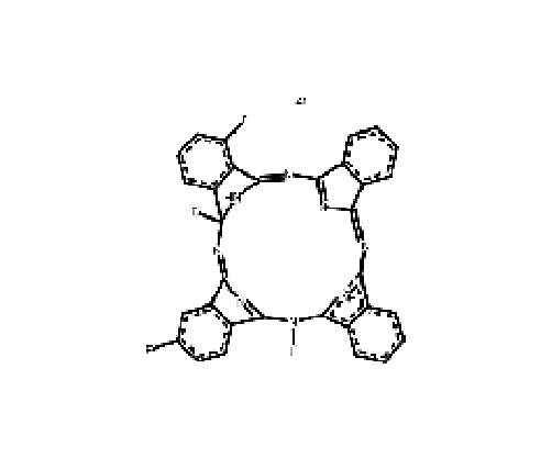 Fc1ccc2c(c1)/C1=N/C3(F)N\C(=N/C4=N\C(=N/c5[nH]c(c6ccccc56)N(F)C2=N1)c1ccccc14)c1c(F)cccc13.[Zn]